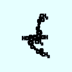 C=CC(=O)OCCCOc1ccc(C(=O)O)c(-c2ccc(-c3cc(OCCCOC(=O)C=C)ccc3C(=O)O)c(C)c2)c1